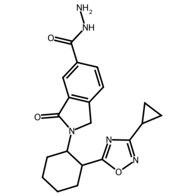 NNC(=O)c1ccc2c(c1)C(=O)N(C1CCCCC1c1nc(C3CC3)no1)C2